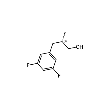 C[C@H](CO)Cc1cc(F)cc(F)c1